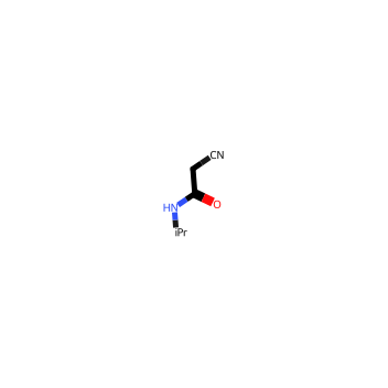 CC(C)NC(=O)CC#N